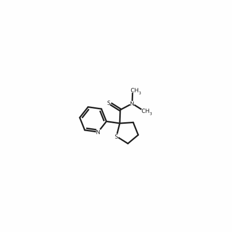 CN(C)C(=S)C1(c2ccccn2)CCCS1